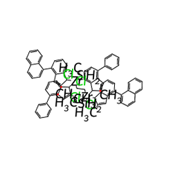 C[SiH2][Zr]([Cl])([Cl])([CH2][CH2][Zr]([Cl])([Cl])([SiH2]C)([CH]1C(C)=Cc2c(-c3ccccc3)cccc21)[CH]1C(C)=Cc2c(-c3cccc4ccccc34)cccc21)([CH]1C(C)=Cc2c(-c3ccccc3)cccc21)[CH]1C(C)=Cc2c(-c3cccc4ccccc34)cccc21